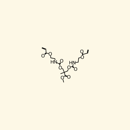 C=CC(=O)OCCNC(=O)OCC(C)(COC(=O)NCCOC(=O)C=C)C(=O)OC